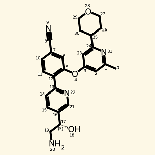 Cc1cc(Oc2cc(C#N)ccc2-c2ccc([C@H](O)CN)cn2)cc(C2CCOCC2)n1